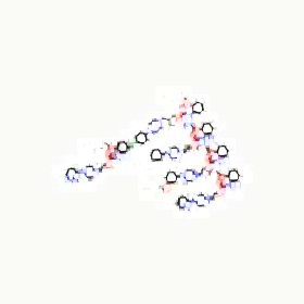 CCOc1ccccc1NC(=O)OCCCN1CCN(c2ccc(F)cc2)CC1.CCOc1ccccc1NC(=O)OCCN1CCN(c2cccc(C)c2)CC1.CCOc1ccccc1NC(=O)OCCN1CCN(c2cccc(OC)c2)CC1.CCOc1ccccc1NC(=O)OCCN1CCN(c2ccccn2)CC1.CCOc1ccccc1NC(=O)OCCN1CCN(c2cccnn2)CC1